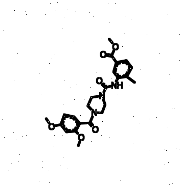 COC(=O)c1ccc(C)c(NC(=O)N2CCN(C(=O)c3ccc(OC)cc3OC)CC2)c1